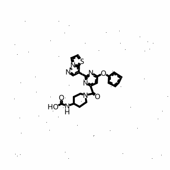 O=C(O)NC1CCN(C(=O)c2cc(Oc3ccccc3)nc(-c3cnn4ccsc34)n2)CC1